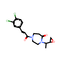 CC(C1CO1)N1CCN(C(=O)C=Cc2ccc(Cl)c(Cl)c2)CCC1=O